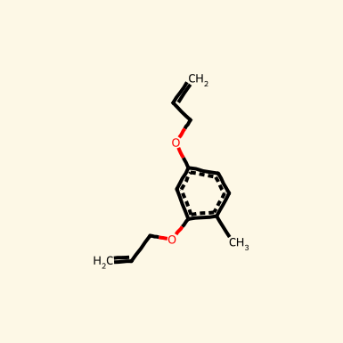 C=CCOc1ccc(C)c(OCC=C)c1